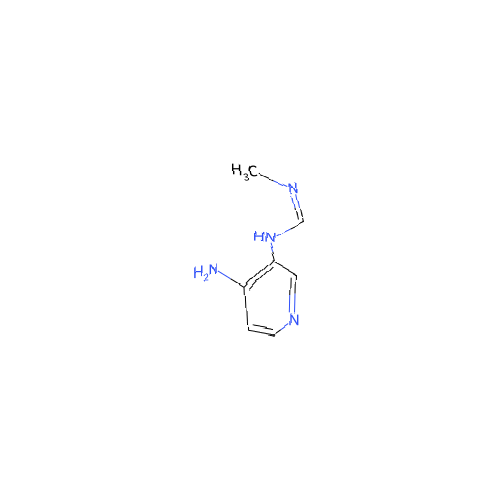 C/N=C\Nc1cnccc1N